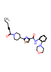 CCCC#CC(=O)N1CCC(c2nc(C(=O)Nc3ccccc3N3CCOCC3)cs2)CC1